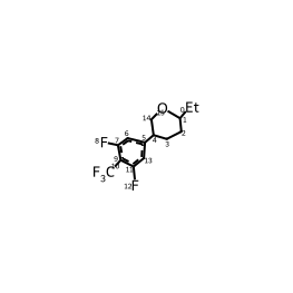 CCC1CCC(c2cc(F)c(C(F)(F)F)c(F)c2)CO1